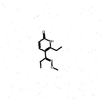 CCC(=NOC)c1ccc(=O)[nH]c1CC